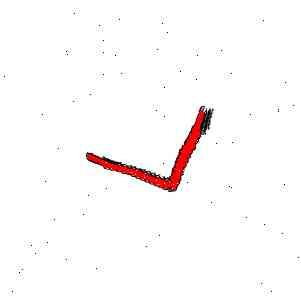 O=[N+]([O-])[O-].O=[N+]([O-])[O-].O=[N+]([O-])[O-].O=[N+]([O-])[O-].O=[N+]([O-])[O-].O=[N+]([O-])[O-].O=[N+]([O-])[O-].O=[N+]([O-])[O-].O=[N+]([O-])[O-].O=[N+]([O-])[O-].O=[N+]([O-])[O-].O=[N+]([O-])[O-].O=[N+]([O-])[O-].O=[N+]([O-])[O-].O=[N+]([O-])[O-].O=[N+]([O-])[O-].O=[N+]([O-])[O-].O=[N+]([O-])[O-].O=[N+]([O-])[O-].O=[N+]([O-])[O-].O=[N+]([O-])[O-].O=[N+]([O-])[O-].O=[N+]([O-])[O-].O=[N+]([O-])[O-].O=[N+]([O-])[O-].[Cu+].[Cu+].[Cu+].[Cu+].[Cu+].[Cu+].[Cu+].[Cu+].[Cu+].[Cu+].[Cu+].[Cu+].[Cu+].[Cu+].[Cu+].[Cu+].[Cu+].[Cu+].[Cu+].[Cu+].[Cu+].[Cu+].[Cu+].[Cu+].[Cu]